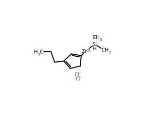 CCCC1=CC[C]([Zr+2][SiH](C)C)=C1.[Cl-].[Cl-]